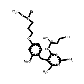 CCC[C@@H](CCO)Nc1nc(N)nc(C)c1Cc1ccc(OCCCN(CC)CC(=O)O)cc1OC